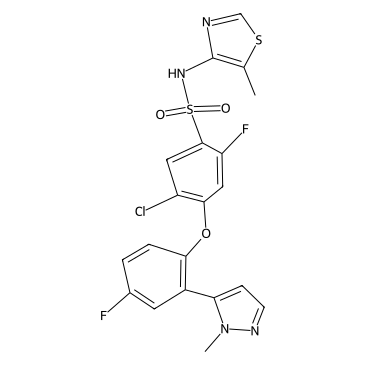 Cc1scnc1NS(=O)(=O)c1cc(Cl)c(Oc2ccc(F)cc2-c2ccnn2C)cc1F